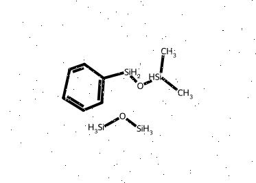 C[SiH](C)O[SiH2]c1ccccc1.[SiH3]O[SiH3]